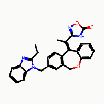 CCc1nc2ccccc2n1Cc1ccc2c(c1)COc1ccccc1/C2=C(/C)c1noc(=O)[nH]1